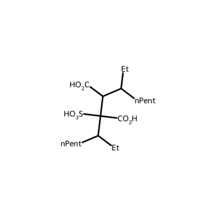 CCCCCC(CC)C(C(=O)O)C(C(=O)O)(C(CC)CCCCC)S(=O)(=O)O